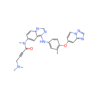 Cc1cc(Nc2ncnc3ccc(N(C)C(=O)C#CCN(C)C)cc23)ccc1Oc1ccn2ncnc2c1